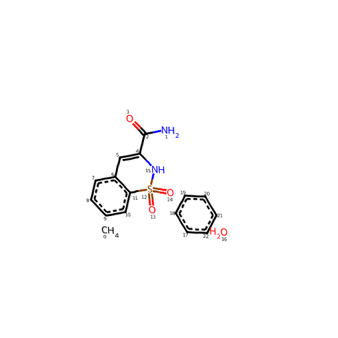 C.NC(=O)C1=Cc2ccccc2S(=O)(=O)N1.O.c1ccccc1